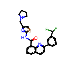 O=C(Nc1nc(CN2CCCC2)cs1)c1cccc2ccc(-c3cccc(C(F)F)c3)nc12